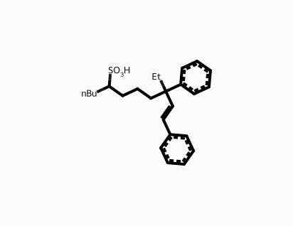 [CH2]CC(C=Cc1ccccc1)(CCCC(CCCC)S(=O)(=O)O)c1ccccc1